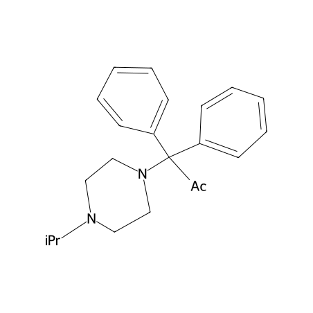 CC(=O)C(c1ccccc1)(c1ccccc1)N1CCN(C(C)C)CC1